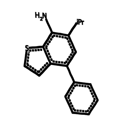 CC(C)c1cc(-c2ccccc2)c2ccsc2c1N